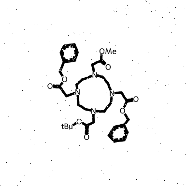 COC(=O)CN1CCN(CC(=O)OCc2ccccc2)CCN(CC(=O)OC(C)(C)C)CCN(CC(=O)OCc2ccccc2)CC1